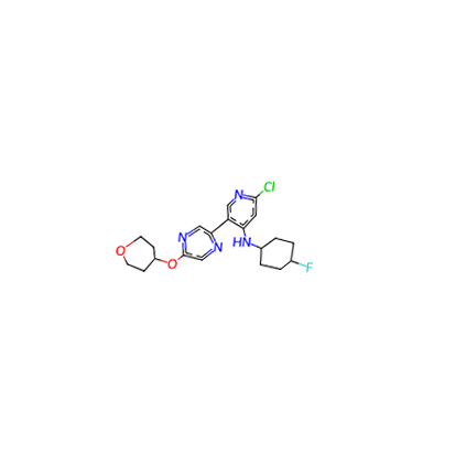 FC1CCC(Nc2cc(Cl)ncc2-c2cnc(OC3CCOCC3)cn2)CC1